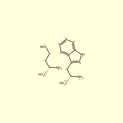 CSCC[C@H](N)C(=O)O.N[C@@H](Cc1c[nH]c2ccccc12)C(=O)O